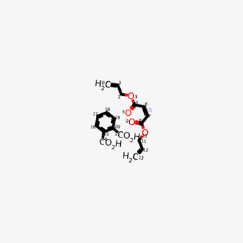 C=CCOC(=O)/C=C\C(=O)OCC=C.O=C(O)c1ccccc1C(=O)O